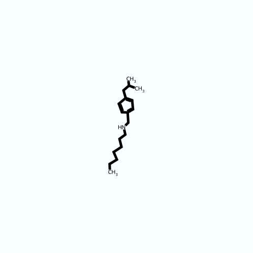 CCCCCCCNCc1ccc(CC(C)C)cc1